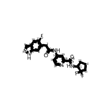 O=C(Cc1cc2[nH]ncc2cc1F)Nc1ccnc(C(=O)NC2CCCC2(F)F)c1